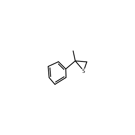 CC1(c2ccccc2)CS1